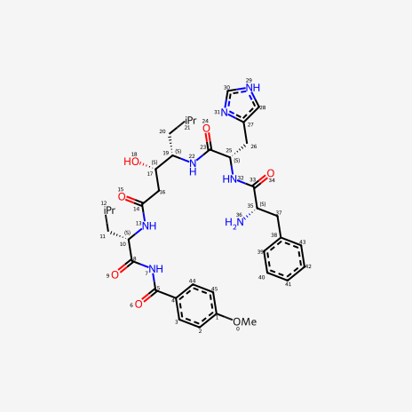 COc1ccc(C(=O)NC(=O)[C@H](CC(C)C)NC(=O)C[C@H](O)[C@H](CC(C)C)NC(=O)[C@H](Cc2c[nH]cn2)NC(=O)[C@@H](N)Cc2ccccc2)cc1